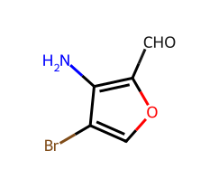 Nc1c(Br)coc1C=O